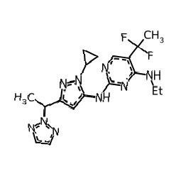 CCNc1nc(Nc2cc(C(C)n3nccn3)nn2C2CC2)ncc1C(C)(F)F